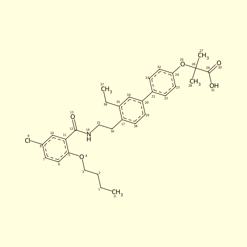 CCCCOc1ccc(Cl)cc1C(=O)NCCc1ccc(-c2ccc(OC(C)(C)C(=O)O)cc2)cc1CC